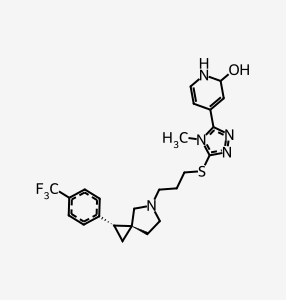 Cn1c(SCCCN2CC[C@]3(C[C@@H]3c3ccc(C(F)(F)F)cc3)C2)nnc1C1=CC(O)NC=C1